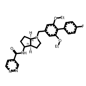 CCOc1cc(CN2CC[C@H]3C(NC(=O)c4ccnnc4)CC[C@H]32)cc(OCC)c1-c1ccc(F)cc1